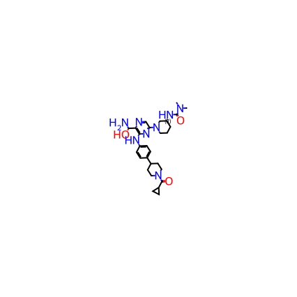 CN(C)C(=O)N[C@@H]1CCCN(c2cnc(C(N)O)c(Nc3ccc(C4CCN(C(=O)C5CC5)CC4)cc3)n2)C1